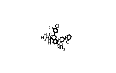 CCC(Cc1c(C(=O)NC)ccc(C(N)=O)c1N1CCC(N2CCCCC2=O)CC1)c1ccc(Cl)c(Cl)c1